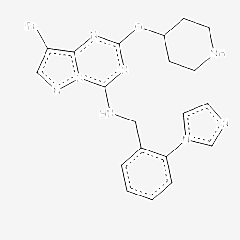 CC(C)c1cnn2c(NCc3ccccc3-n3ccnc3)nc(OC3CCNCC3)nc12